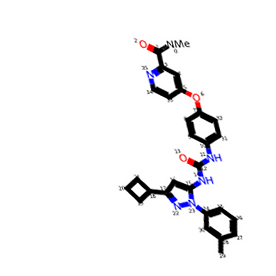 CNC(=O)c1cc(Oc2ccc(NC(=O)Nc3cc(C4CCC4)nn3-c3cccc(C)c3)cc2)ccn1